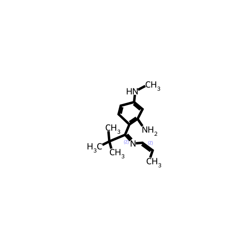 C/C=C\N=C(/c1ccc(NC)cc1N)C(C)(C)C